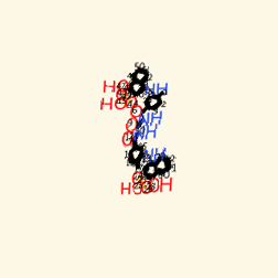 Cc1ccc(C(=O)NC(=O)NC(=O)c2ccc(C)c(Nc3cc(S(=O)(=O)O)c(O)c4ccccc34)c2)cc1Nc1cc(S(=O)(=O)O)c(O)c2ccccc12